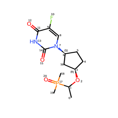 CC(O[C@@H]1CC[C@H](n2cc(F)c(=O)[nH]c2=O)C1)P(C)(C)=O